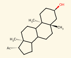 CC(=O)[C@H]1CCC2C3CC[C@@]4(C)C[C@H](O)CC[C@]4(C)C3CC[C@@]21C